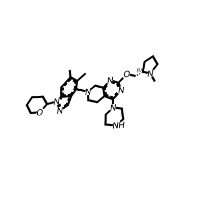 Cc1cc2c(cnn2C2CCCCO2)c(N2CCc3c(nc(OC[C@@H]4CCCN4C)nc3N3CCNCC3)C2)c1C